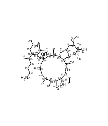 CC[C@H]1OC(=O)[C@H](C)[C@@H](O[C@H]2C[C@@](C)(OC)[C@@H](O)[C@H](C)O2)[C@H](C)[C@@H](O[C@@H]2O[C@H](C)C[C@H](N(C)CCCN)[C@H]2O)[C@](C)(O)C[C@@H](C)CN(C)[C@H](C)[C@@H](O)[C@]1(C)O